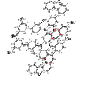 CC(C)(C)c1cc(-c2ccc3c(c2)Sc2cc(-c4cccc5oc6ccccc6c45)cc4c2B3c2cc3c(cc2N4c2cc(C(C)(C)C)cc(C(C)(C)C)c2)N(c2c(-c4ccccc4)cccc2-c2ccccc2)c2cc(-c4cccc5oc6ccccc6c45)cc4c2B3c2ccc(-c3cc(C(C)(C)C)cc(C(C)(C)C)c3)cc2S4)cc(C(C)(C)C)c1